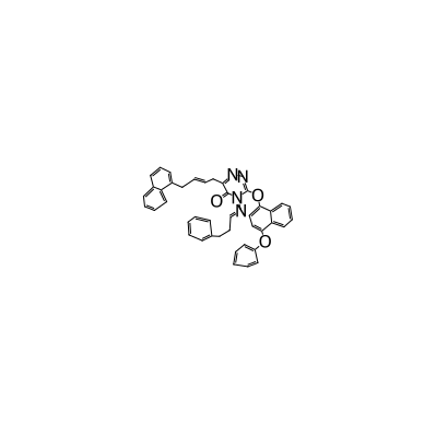 O=c1c(CC=CCc2cccc3ccccc23)nnc(Oc2ccc(Oc3ccccc3)c3ccccc23)n1N=CCCc1ccccc1